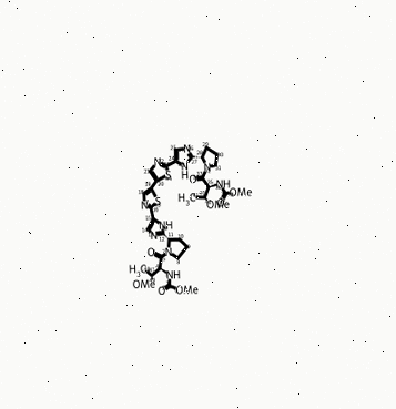 COC(=O)N[C@H](C(=O)N1CCC[C@H]1c1ncc(-c2ncc(-c3cnc(-c4cnc([C@@H]5CCCN5C(=O)[C@@H](NC(=O)OC)[C@@H](C)OC)[nH]4)s3)s2)[nH]1)[C@@H](C)OC